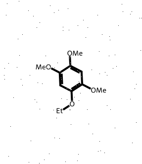 [CH2]COc1cc(OC)c(OC)cc1OC